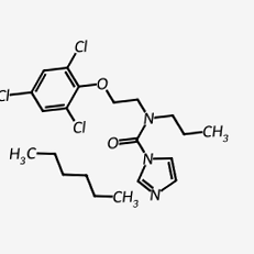 CCCCCC.CCCN(CCOc1c(Cl)cc(Cl)cc1Cl)C(=O)n1ccnc1